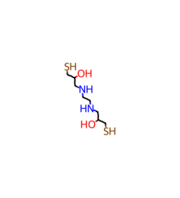 OC(CS)CNCCNCC(O)CS